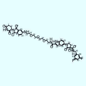 O=C1CCC(N2C(=O)c3ccc(NCCOCCOCCOCCNC(=O)c4cc5cc(N6CC[C@](O)(C(=O)NCc7cc(F)cc(F)c7)C6=O)ccc5[nH]4)cc3C2=O)C(=O)N1